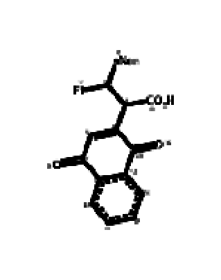 CCCCCCCCCC(CC)C(C(=O)O)C1=CC(=O)c2ccccc2C1=O